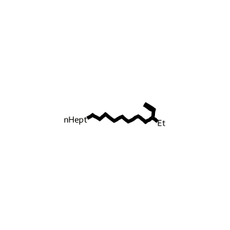 C=CC(CC)CCCCCCCCCCCCCCC